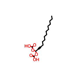 CCCCCCCCCCCCC#CC(OC(=O)O)OC(=O)O